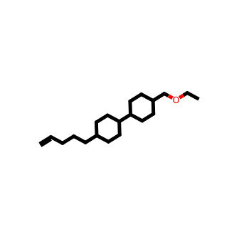 C=CCCCC1CCC(C2CCC(COCC)CC2)CC1